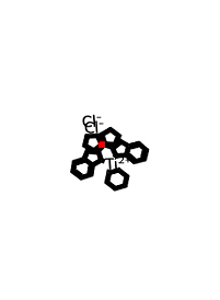 C1=C(C2CCCC2)[CH]([Ti+2]2([CH]3C(C4CCCC4)=Cc4ccccc43)[CH]3CCCC[CH]32)c2ccccc21.[Cl-].[Cl-]